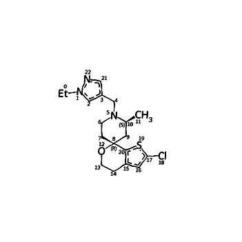 CCn1cc(CN2CC[C@]3(C[C@@H]2C)OCCc2cc(Cl)sc23)cn1